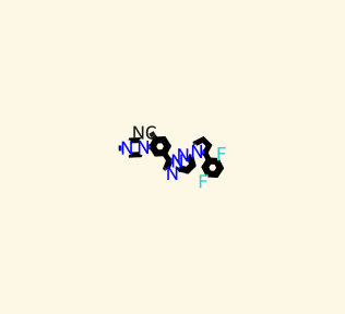 CN1CCN(c2cc(-c3cnc4ccc(N5CCCC5c5cc(F)ccc5F)nn34)ccc2C#N)CC1